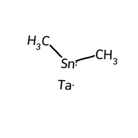 [CH3][Sn][CH3].[Ta]